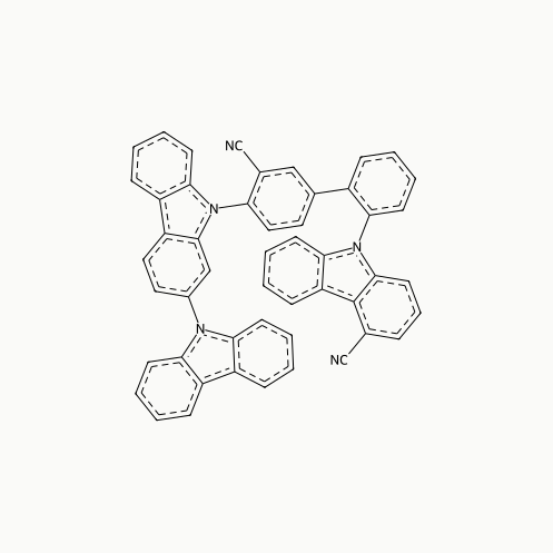 N#Cc1cc(-c2ccccc2-n2c3ccccc3c3c(C#N)cccc32)ccc1-n1c2ccccc2c2ccc(-n3c4ccccc4c4ccccc43)cc21